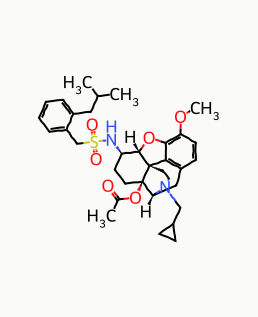 COc1ccc2c3c1O[C@H]1[C@H](NS(=O)(=O)Cc4ccccc4CC(C)C)CC[C@@]4(OC(C)=O)[C@@H](C2)N(CC2CC2)CC[C@]314